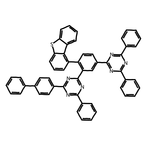 c1ccc(-c2ccc(-c3nc(-c4ccccc4)nc(-c4cc(-c5nc(-c6ccccc6)nc(-c6ccccc6)n5)ccc4-c4cccc5sc6ccccc6c45)n3)cc2)cc1